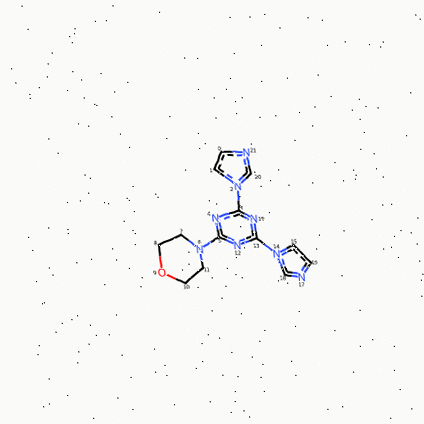 c1cn(-c2nc(N3CCOCC3)nc(-n3ccnc3)n2)cn1